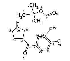 CC(C)(C)OC=O.O=C(c1ccc(Cl)c(F)c1)C1CCNC1